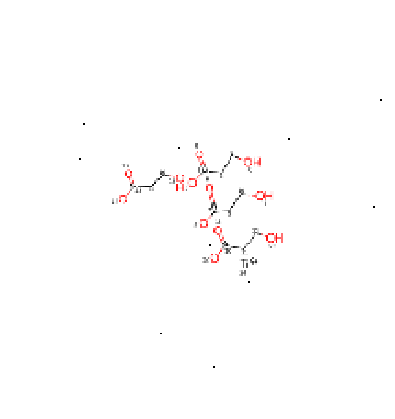 O=C([O-])CCO.O=C([O-])CCO.O=C([O-])CCO.O=C([O-])CCO.[Ti+4]